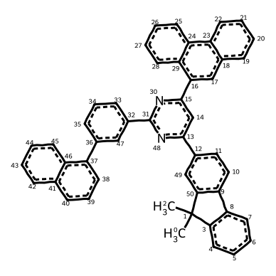 CC1(C)c2ccccc2-c2ccc(-c3cc(-c4cc5ccccc5c5ccccc45)nc(-c4cccc(-c5cccc6ccccc56)c4)n3)cc21